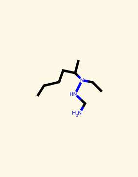 [CH2]CCCC(C)N(CC)NCN